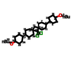 CCCCOC1CCC(C2CC[C@]3(CC2)C[C@@]2(CC[C@H](C4CCC(OCCCC)CC4)CC2)C3(Cl)Cl)CC1